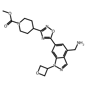 COC(=O)N1CCC(c2noc(-c3cc(CN)c4cnn(C5COC5)c4c3)n2)CC1